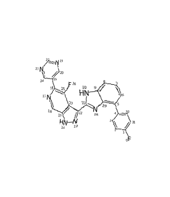 Fc1ccc(-c2cccc3[nH]c(-c4n[nH]c5cnc(-c6cncnc6)c(F)c45)nc23)cc1